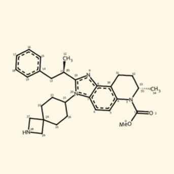 COC(=O)N1c2ccc3c(nc([C@H](C)Cc4ccccc4)n3C3CCC4(CC3)CNC4)c2CC[C@@H]1C